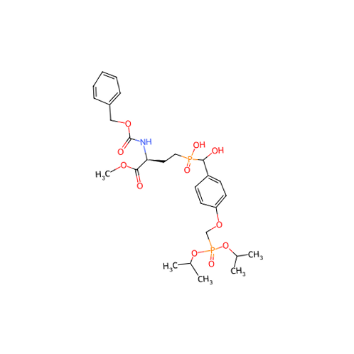 COC(=O)[C@H](CCP(=O)(O)C(O)c1ccc(OCP(=O)(OC(C)C)OC(C)C)cc1)NC(=O)OCc1ccccc1